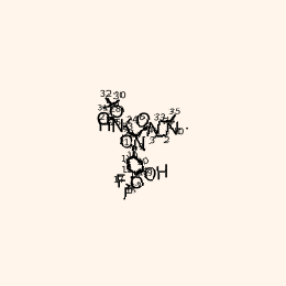 [CH2]N1CCN(C(=O)c2nc(-c3ccc(OC(F)F)c(O)c3)oc2[C@H](C)NC(=O)OC(C)(C)C)CC1C